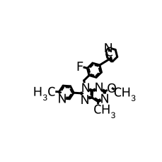 COc1nc(C)c2nc(-c3ccc(C)nc3)n(Cc3ccc(C4CN5CCC4CC5)cc3F)c2n1